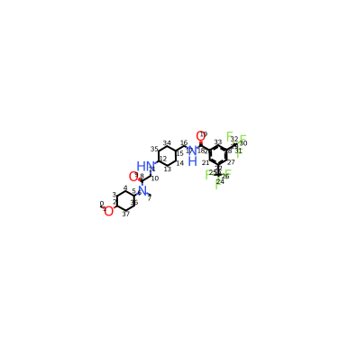 COC1CCC(N(C)C(=O)CNC2CCC(CNC(=O)c3cc(C(F)(F)F)cc(C(F)(F)F)c3)CC2)CC1